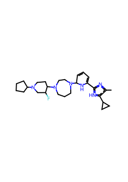 Cc1nc(C2=CC=CC(N3CCCN(C4CCN(C5CCCC5)CC4F)CC3)N2)[nH]c1C1CC1